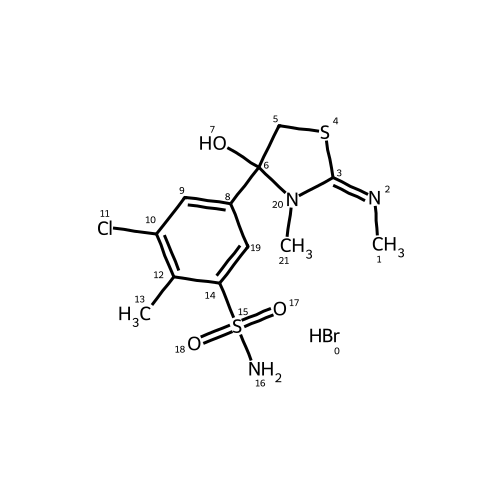 Br.CN=C1SCC(O)(c2cc(Cl)c(C)c(S(N)(=O)=O)c2)N1C